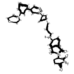 O=C1CCC(N2C(=O)c3ccc(NCCC[C@H]4C[C@H](N5CC(c6cccc(N7CCOCC7)c6)C=N5)C4)cc3C2=O)C(=O)N1